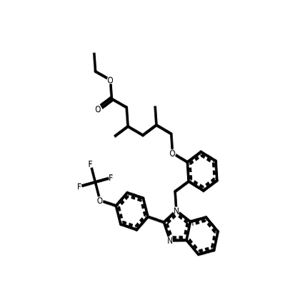 CCOC(=O)CC(C)CC(C)COc1ccccc1Cn1c(-c2ccc(OC(F)(F)F)cc2)nc2ccccc21